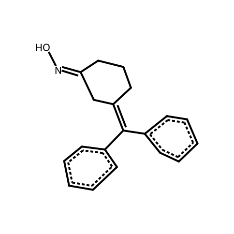 ON=C1CCCC(=C(c2ccccc2)c2ccccc2)C1